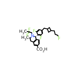 C[C@@H]1Cc2cc(C(=O)O)ccc2[C@@H](c2c(F)cc(CC3CC(CCCF)C3)cc2F)N1CC(C)(F)F